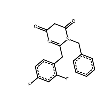 O=C1CC(=O)N(Cc2ccccc2)C(Cc2ccc(F)cc2F)=N1